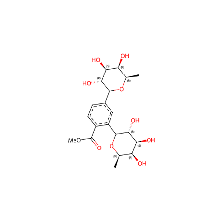 COC(=O)c1ccc(C2O[C@H](C)[C@H](O)[C@H](O)[C@H]2O)cc1C1O[C@H](C)[C@H](O)[C@H](O)[C@H]1O